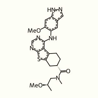 COc1cc2[nH]ncc2cc1Nc1ncnc2sc3c(c12)CC[C@H](C(=O)N(C)C[C@@H](C)OC)C3